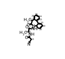 CC1C(=O)N(NC(=O)[C@H](C)NC(=O)CC#N)C2CC=CC=C2c2ccccc21